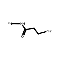 [2H]NC(=O)CCCCC